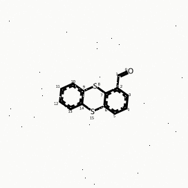 O=Cc1cccc2c1Sc1ccccc1S2